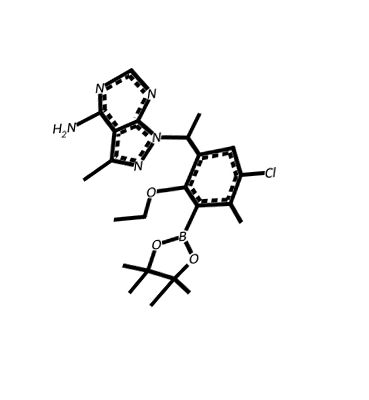 CCOc1c(C(C)n2nc(C)c3c(N)ncnc32)cc(Cl)c(C)c1B1OC(C)(C)C(C)(C)O1